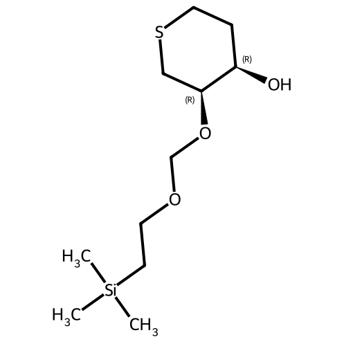 C[Si](C)(C)CCOCO[C@H]1CSCC[C@H]1O